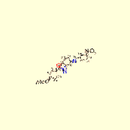 COc1ccc(-c2nc3cc(/N=C/c4cccc([N+](=O)[O-])c4)ccc3o2)cc1